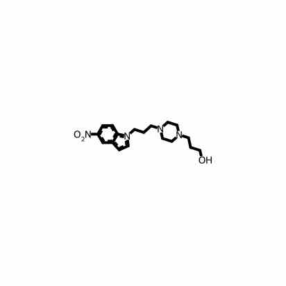 O=[N+]([O-])c1ccc2c(ccn2CCCN2CCN(CCCO)CC2)c1